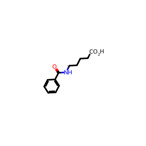 O=C(O)CCC[CH]NC(=O)c1ccccc1